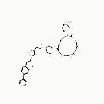 CC[C@H]1OC(=O)[C@H](C)[C@@H](O[C@H]2C[C@@](C)(OC)[C@@H](O)[C@H](C)O2)[C@H](C)[C@@H](O[C@H]2C[C@@H](N(C)CCc3cn([C@H](CF)Cc4ccc(-c5ccncc5)cc4)nn3)C[C@@H](C)O2)[C@](C)(O)C[C@@H](C)CN(C)[C@H](C)[C@@H](O)[C@]1(C)O